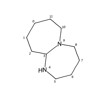 C1CCC2NCCCCN2CC1